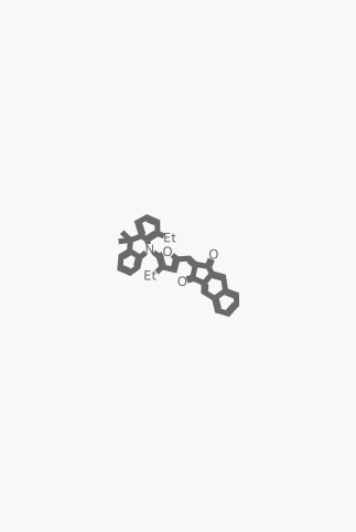 CCc1cc(C=C2C(=O)c3cc4ccccc4cc3C2=O)oc1N1c2ccccc2C(C)(C)c2cccc(CC)c21